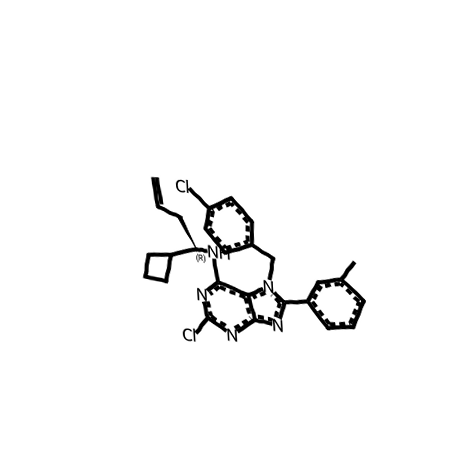 C=CC[C@@H](Nc1nc(Cl)nc2nc(-c3cccc(C)c3)n(Cc3ccc(Cl)cc3)c12)C1CCC1